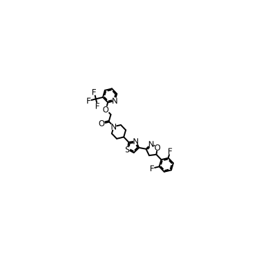 O=C(COc1ncccc1C(F)(F)F)N1CCC(c2nc(C3=NOC(c4c(F)cccc4F)C3)cs2)CC1